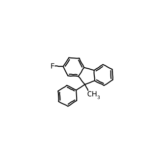 CC1(c2ccccc2)c2ccccc2-c2ccc(F)cc21